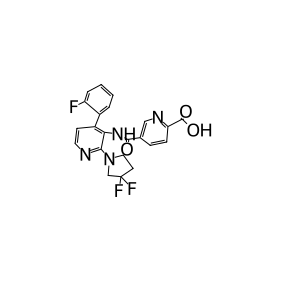 O=C(Nc1c(-c2ccccc2F)ccnc1N1CCC(F)(F)C1)c1ccc(C(=O)O)nc1